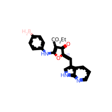 Bc1ccc(NC2=C(C(=O)OCC)C(=O)/C(=C/c3c[nH]c4ncccc34)O2)cc1